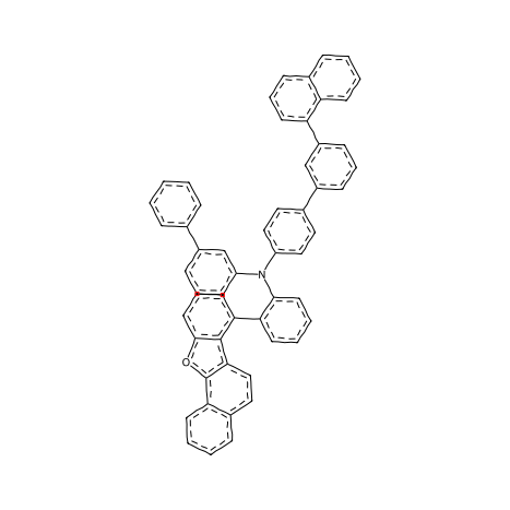 c1ccc(-c2cccc(N(c3ccc(-c4cccc(-c5cccc6ccccc56)c4)cc3)c3ccccc3-c3cccc4oc5c6ccccc6ccc5c34)c2)cc1